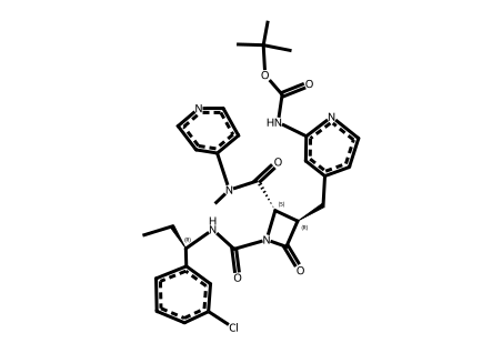 CC[C@@H](NC(=O)N1C(=O)[C@H](Cc2ccnc(NC(=O)OC(C)(C)C)c2)[C@H]1C(=O)N(C)c1ccncc1)c1cccc(Cl)c1